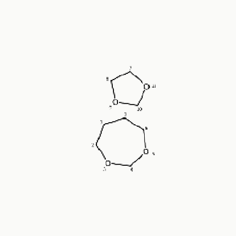 C1CCOCOC1.C1COCO1